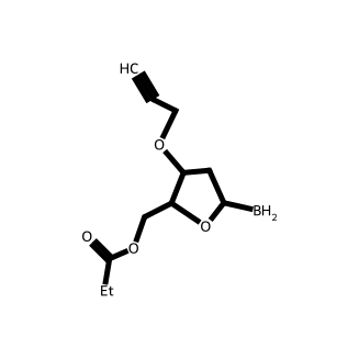 BC1CC(OCC#C)C(COC(=O)CC)O1